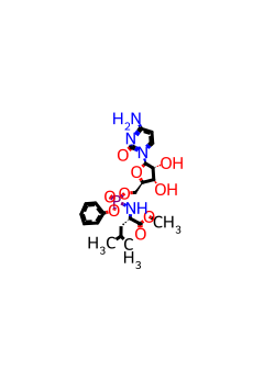 COC(=O)[C@H](CC(C)C)NP(=O)(OC[C@H]1O[C@@H](n2ccc(N)nc2=O)[C@H](O)[C@@H]1O)Oc1ccccc1